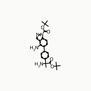 CC(C)(C)OC(=O)n1ncc2c(N)c(-c3ccc(C(C)(N)C(=O)OC(C)(C)C)cc3)ccc21